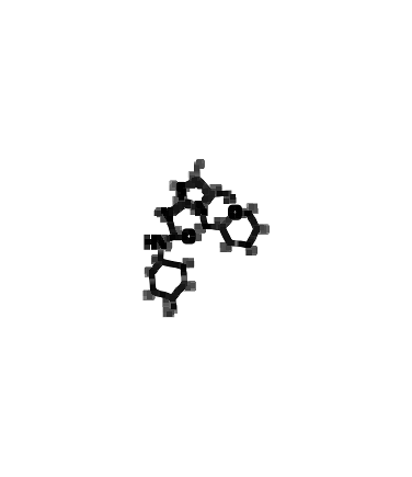 Cc1sc(=NC(=O)NC2CCC(C)CC2)n(CC2CCCCO2)c1C